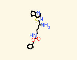 N[C@H](CCCCNC(=O)OCc1ccccc1)c1nc2cnc3ccccc3c2s1